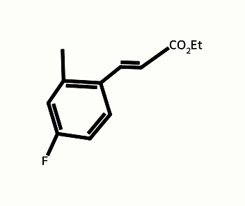 CCOC(=O)/C=C/c1ccc(F)cc1C